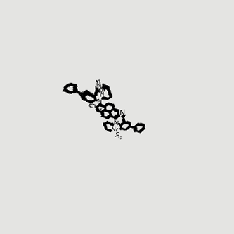 CC1C=C(c2ccccc2)C=C(C#N)C1N(c1ccccn1)c1ccc2ccc3c(N(c4ccccn4)C4C(C)CC(c5ccccc5)CC4C#N)ccc4ccc1c2c43